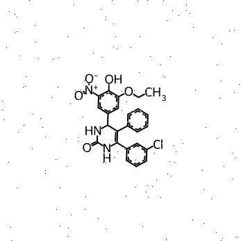 CCOc1cc(C2NC(=O)NC(c3cccc(Cl)c3)=C2c2ccccc2)cc([N+](=O)[O-])c1O